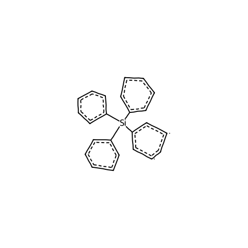 [c]1c[c]cc([Si](c2ccccc2)(c2ccccc2)c2ccccc2)c1